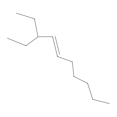 CCCCC/C=C/C(CC)CC